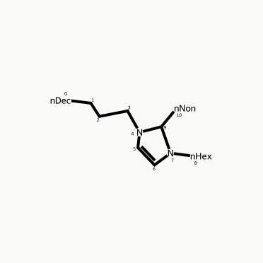 CCCCCCCCCCCCCN1C=CN(CCCCCC)C1CCCCCCCCC